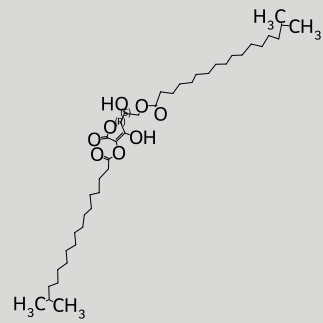 CC(C)CCCCCCCCCCCCCCC(=O)OC[C@H](O)[C@H]1OC(=O)C(OC(=O)CCCCCCCCCCCCCCC(C)C)=C1O